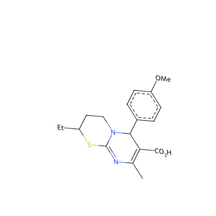 CCC1CCN2C(=NC(C)=C(C(=O)O)C2c2ccc(OC)cc2)S1